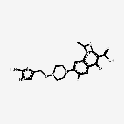 CC1Sc2c(C(=O)O)c(=O)c3cc(F)c(N4CCN(OCc5c[nH]c(N)n5)CC4)cc3n21